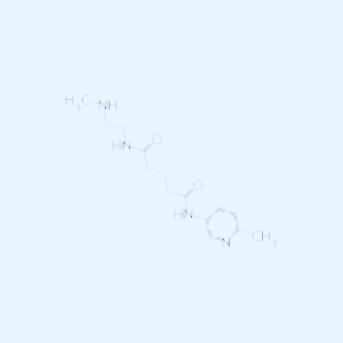 CNCCNC(=O)CCCC(=O)Nc1ccc(C)nc1